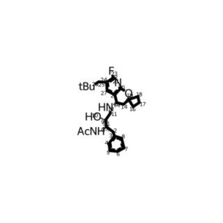 CC(=O)N[C@@H](Cc1ccccc1)[C@H](O)CN[C@H]1CC2(CCC2)Oc2nc(F)c(CC(C)(C)C)cc21